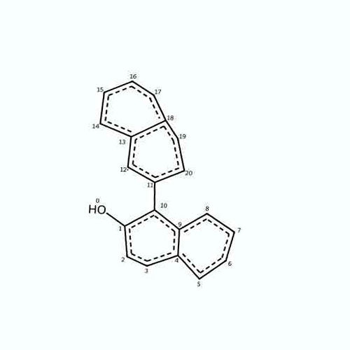 Oc1ccc2ccccc2c1-c1[c]c2ccccc2cc1